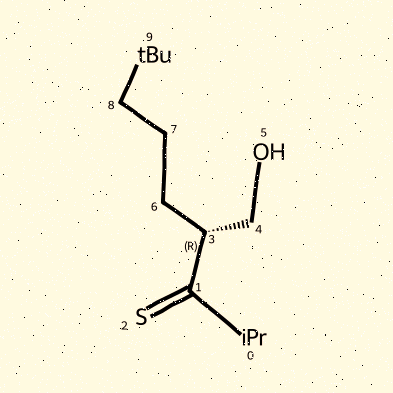 CC(C)C(=S)[C@@H](CO)CCCC(C)(C)C